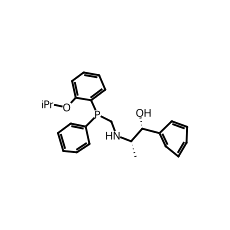 CC(C)Oc1ccccc1P(CN[C@@H](C)[C@H](O)c1ccccc1)c1ccccc1